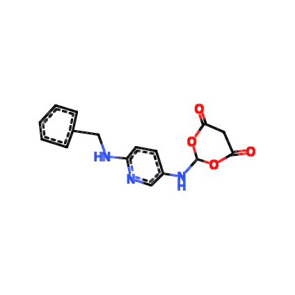 O=C1CC(=O)OC(Nc2ccc(NCc3ccccc3)nc2)O1